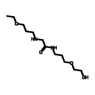 CCOCCCNCC(=O)NCCCOCCO